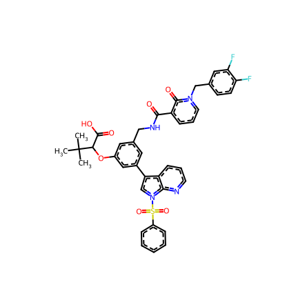 CC(C)(C)C(Oc1cc(CNC(=O)c2cccn(Cc3ccc(F)c(F)c3)c2=O)cc(-c2cn(S(=O)(=O)c3ccccc3)c3ncccc23)c1)C(=O)O